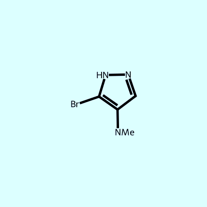 CNc1cn[nH]c1Br